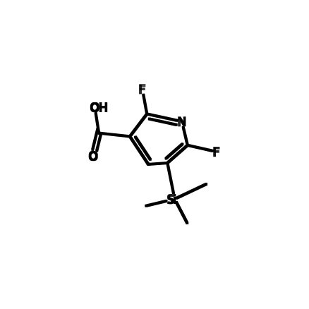 C[Si](C)(C)c1cc(C(=O)O)c(F)nc1F